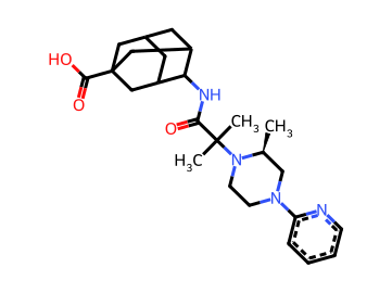 C[C@H]1CN(c2ccccn2)CCN1C(C)(C)C(=O)NC1C2CC3CC1CC(C(=O)O)(C3)C2